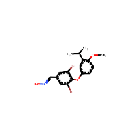 COc1ccc(Oc2c(Br)cc(/C=N/O)cc2Br)cc1C(C)C